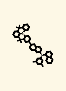 Cc1cc(C)cc(N(c2ccc3cc(-c4ccc5c(c4)C(C)(C)c4cccc6c4N5c4ccccc4C6(C)C)ccc3c2)c2cccc3ccccc23)c1